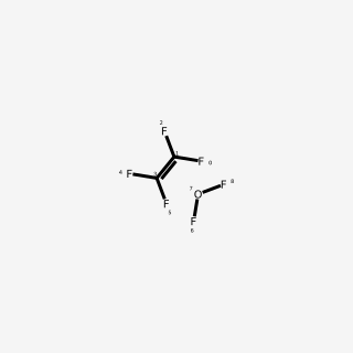 FC(F)=C(F)F.FOF